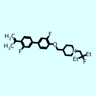 C=C(C)c1ccc(-c2ccc(OCC3CCN(CC(F)(CC)CC)CC3)c(F)c2)cc1F